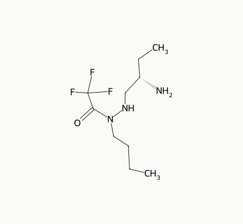 CCCCN(NC[C@@H](N)CC)C(=O)C(F)(F)F